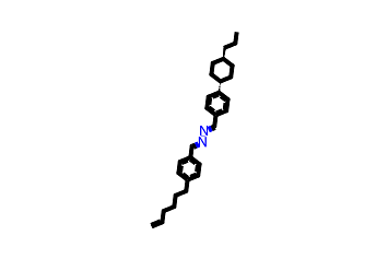 C=CCCCCc1ccc(C=NN=Cc2ccc([C@H]3CC[C@H](CCC)CC3)cc2)cc1